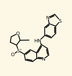 CC1OCCC1[S+]([O-])c1ccc2nccc(Nc3ccc4scnc4c3)c2c1